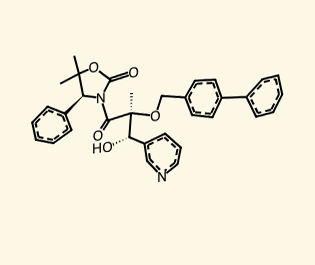 CC1(C)OC(=O)N(C(=O)[C@@](C)(OCc2ccc(-c3ccccc3)cc2)[C@@H](O)c2cccnc2)[C@H]1c1ccccc1